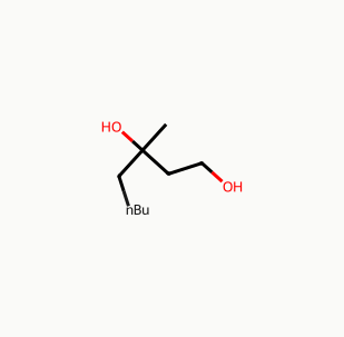 CCCCCC(C)(O)CCO